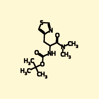 CN(C)C(=O)C(Cc1cscn1)NC(=O)OC(C)(C)C